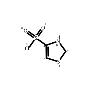 O=S(=O)(Cl)C1=CSCN1